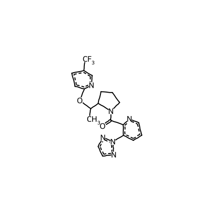 CC(Oc1ccc(C(F)(F)F)cn1)C1CCCN1C(=O)c1ncccc1-n1nccn1